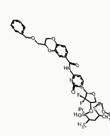 CCOC[C@H]1OC(n2ccc(NC(=O)c3ccc4c(c3)OC(COCc3ccccc3)CO4)nc2=O)C(F)(F)[C@@H]1O[Si](O)(C(C)C)C(C)CC(C)SC(C)C